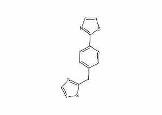 c1csc(Cc2ccc(-c3nccs3)cc2)n1